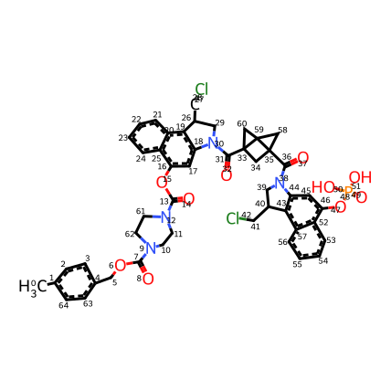 Cc1ccc(COC(=O)N2CCN(C(=O)Oc3cc4c(c5ccccc35)C(CCl)CN4C(=O)C34CC5(C(=O)N6CC(CCl)c7c6cc(OP(=O)(O)O)c6ccccc76)CC35C4)CC2)cc1